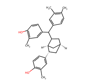 Cc1ccc(C(c2ccc(O)c(C)c2)C2C[C@H]3C[C@H](c4ccc(O)c(C)c4)[C@@H]2C3)cc1C